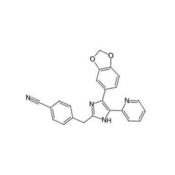 N#Cc1ccc(Cc2nc(-c3ccc4c(c3)OCO4)c(-c3ccccn3)[nH]2)cc1